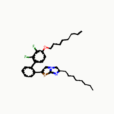 CCCCCCCCOc1ccc(-c2ccccc2-c2cn3cc(CCCCCCCC)nc3s2)c(F)c1F